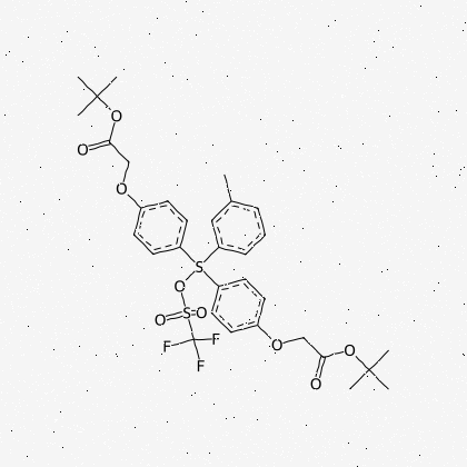 Cc1cccc(S(OS(=O)(=O)C(F)(F)F)(c2ccc(OCC(=O)OC(C)(C)C)cc2)c2ccc(OCC(=O)OC(C)(C)C)cc2)c1